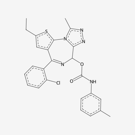 CCc1cc2c(s1)-n1c(C)nnc1C(OC(=O)Nc1cccc(C)c1)N=C2c1ccccc1Cl